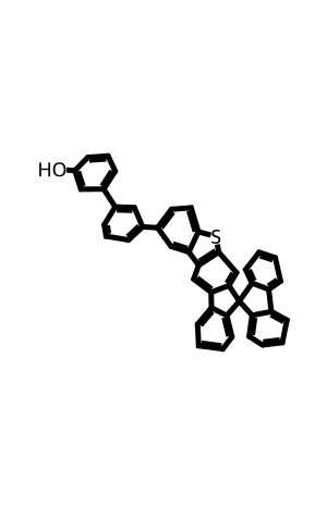 Oc1cccc(-c2cccc(-c3ccc4sc5cc6c(cc5c4c3)-c3ccccc3C63c4ccccc4-c4ccccc43)c2)c1